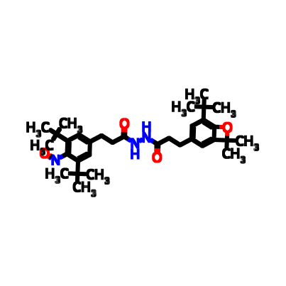 CC(C)(C)c1cc(CCC(=O)NNC(=O)CCc2cc(C(C)(C)C)c3c(c2)C(C)(C)O3)cc(C(C)(C)C)c1N=O